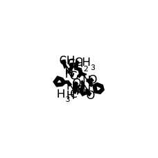 C#CCN(C=C)N=C=C/C(=C\C=C/C)CN1C[C@H]2N(C(=O)CN2N(C)C(=O)NCc2ccccc2)[C@@H](c2ccccc2)C1=O